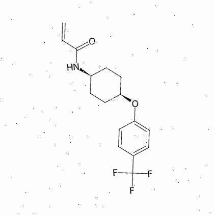 C=CC(=O)N[C@H]1CC[C@@H](Oc2ccc(C(F)(F)F)cc2)CC1